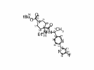 CCNC1(C(=O)NC(C)c2ccc(-n3cc(F)cn3)nc2)CCN(C(=O)OC(C)(C)C)CC1